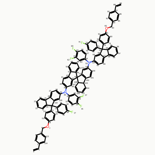 C=Cc1ccc(COc2ccc(C3(c4ccc(F)cc4)c4ccccc4-c4ccc(N(c5ccc(F)c(F)c5)c5ccc6c(c5)C5(c7ccccc7-6)c6cc(N(c7ccc(F)c(F)c7)c7ccc8c(c7)C(c7ccc(F)cc7)(c7ccc(OCc9ccc(C=C)cc9)cc7)c7ccccc7-8)ccc6C6C=CC=CC65)cc43)cc2)cc1